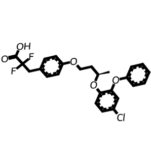 C[C@H](CCOc1ccc(CC(F)(F)C(=O)O)cc1)Oc1ccc(Cl)cc1Oc1ccccc1